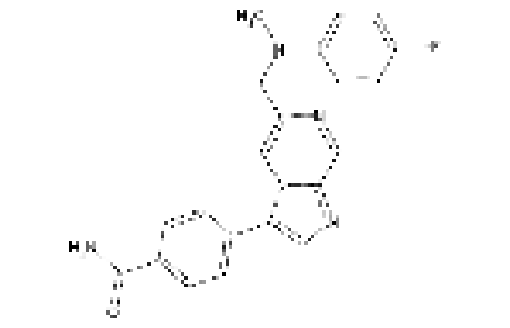 CN(Cc1cn2c(-c3ccc(C(N)=O)cc3)cnc2cn1)c1ccc(F)cc1